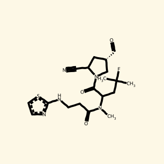 CN(C(=O)CCNc1nccs1)C(CC(C)(C)F)C(=O)N1C[C@@H](C=O)CC1C#N